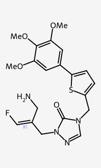 COc1cc(-c2ccc(Cn3cnn(C/C(=C/F)CN)c3=O)s2)cc(OC)c1OC